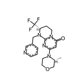 C[C@@H]1COCCN1c1cc(=O)n2c(n1)N(Cc1cccnc1)[C@H](C(F)(F)F)CC2